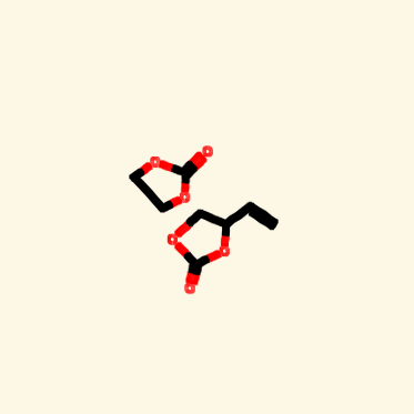 C=CC1COC(=O)O1.O=C1OCCO1